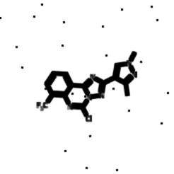 Cc1nn(C)cc1-c1nc2c3cccc(C(F)(F)F)c3nc(Cl)n2n1